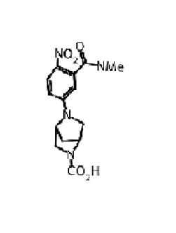 CNC(=O)c1cc(N2CC3CC2CN3C(=O)O)ccc1[N+](=O)[O-]